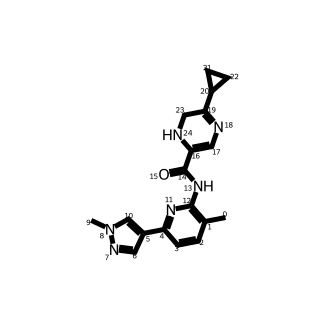 Cc1ccc(-c2cnn(C)c2)nc1NC(=O)C1=CN=C(C2CC2)CN1